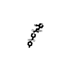 CC1CCC(NC(=O)C2CCN(C(=O)c3cc(-c4ccncc4C#N)[nH]n3)CC2)CC1